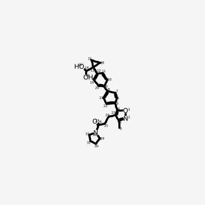 Cc1noc(-c2ccc(-c3ccc(C4(C(O)O)CC4)cc3)cc2)c1CCC(=O)N1CCCC1